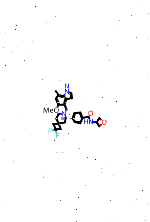 COc1cc(C)c2[nH]ccc2c1CN1CCC2(C[C@H]1c1ccc(C(=O)NC3COC3)cc1)CC(F)(F)C2